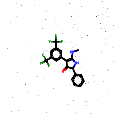 CNC1=C(c2cc(C(F)(F)F)cc(C(F)(F)F)c2)C(=O)C(c2ccccc2)N1